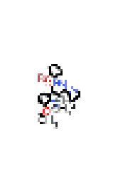 CCOc1cccc(-c2cc(-c3ccccn3)nn(-c3ccccc3Br)c2=O)c1N(C)C